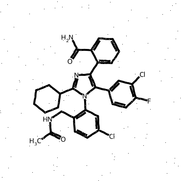 CC(=O)NCc1ccc(Cl)cc1-n1c(C2CCCCC2)nc(-c2ccccc2C(N)=O)c1-c1ccc(F)c(Cl)c1